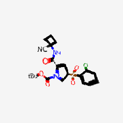 CC(C)(C)OC(=O)N1C[C@H](S(=O)(=O)c2ccccc2Cl)C[C@H]1C(=O)NC1(C#N)CCC1